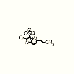 CCCc1ccc2nc(Cl)c(S(=O)(=O)Cl)n2n1